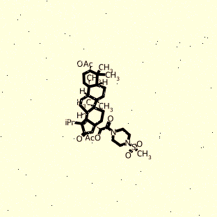 CC(=O)OC(C(=O)N1CCN(S(C)(=O)=O)CC1)[C@@]12CC[C@]3(C)[C@H](CC[C@@H]4[C@@]5(C)CC[C@H](OC(C)=O)C(C)(C)[C@@H]5CC[C@]43C)C1=C(C(C)C)C(=O)C2